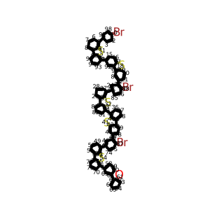 Brc1ccc(-c2cccc3c2sc2c(-c4ccc5sc6ccc(-c7cc(-c8cccc9c8sc8c(-c%10cccc%11c%10sc%10cc(-c%12cc(-c%13cccc%14c%13sc%13c(-c%15ccc%16oc%17ccccc%17c%16c%15)cccc%13%14)ccc%12Br)ccc%10%11)cccc89)ccc7Br)cc6c5c4)cccc23)cc1